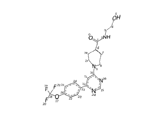 O=C(NCCO)C1CCN(c2cc(-c3ccc(OC(F)(F)F)cc3)ncn2)CC1